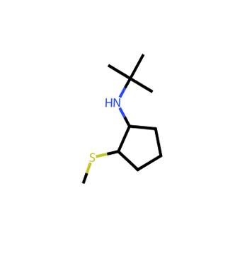 CSC1CCCC1NC(C)(C)C